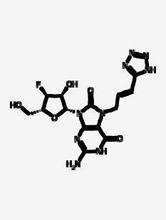 Nc1nc2c(c(=O)[nH]1)n(C/C=C/c1nnn[nH]1)c(=O)n2[C@@H]1O[C@H](CO)[C@@H](F)[C@H]1O